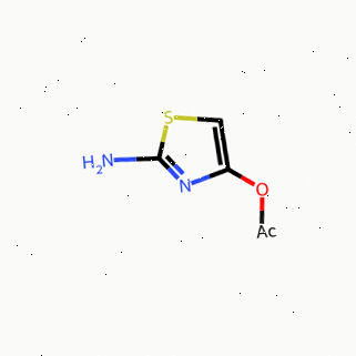 CC(=O)Oc1csc(N)n1